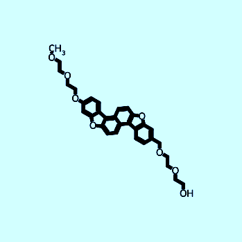 COCCOCCOc1ccc2c(c1)oc1ccc3c(ccc4oc5cc(COCCOCCO)ccc5c43)c12